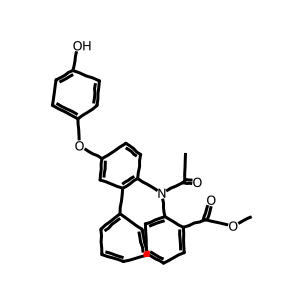 COC(=O)c1ccccc1N(C(C)=O)c1ccc(Oc2ccc(O)cc2)cc1-c1ccccc1